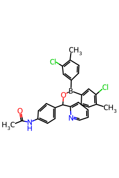 CC(=O)Nc1ccc(C(OB(c2ccc(C)c(Cl)c2)c2ccc(C)c(Cl)c2)c2ccccn2)cc1